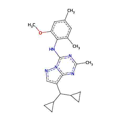 COc1cc(C)cc(C)c1Nc1nc(C)nc2c(C(C3CC3)C3CC3)cnn12